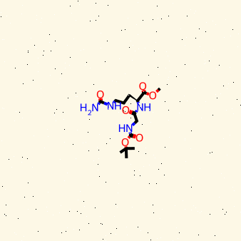 COC(=O)[C@H](CCCNC(N)=O)NC(=O)CNC(=O)OC(C)(C)C